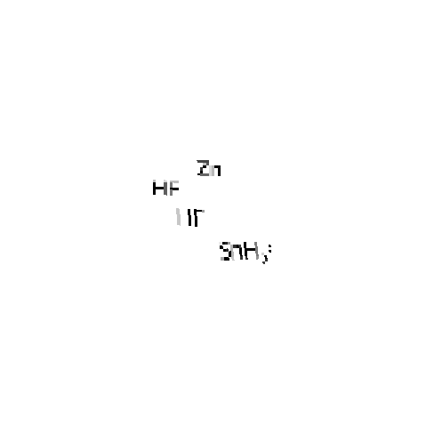 F.F.[SnH2].[Zn]